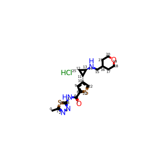 Cc1nnc(NC(=O)c2cc([C@@H]3C[C@H]3NCC3CCOCC3)cs2)s1.Cl